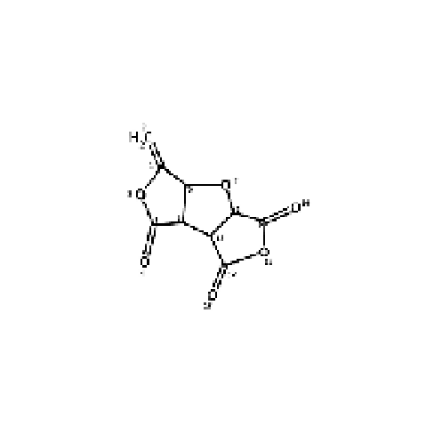 C=C1OC(=O)C2C1OC1C(=O)OC(=O)C12